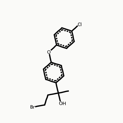 CC(O)(CCBr)c1ccc(Oc2ccc(Cl)cc2)cc1